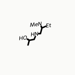 CCC(CNCC(C)O)NC